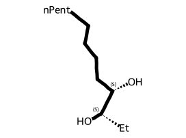 CCCCCCCCC[C@H](O)[C@@H](O)CC